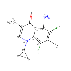 CCc1c(F)c(N)c2c(=O)c(C(=O)O)cn(C3CC3)c2c1F